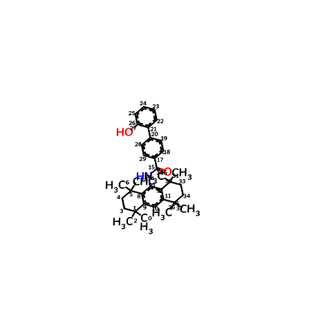 CC1(C)CCC(C)(C)c2c1cc1c(c2NC(=O)c2[c]cc(-c3ccccc3O)cc2)C(C)(C)CCC1(C)C